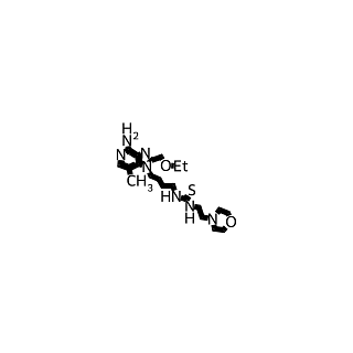 CCOCc1nc2c(N)ncc(C)c2n1CCCCNC(=S)NCCN1CCOCC1